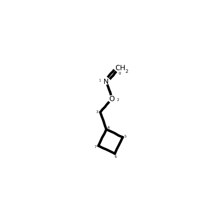 C=NOCC1CCC1